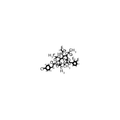 COC(=O)[C@@]1(OCc2cccc(F)c2F)C[C@H](OC(C)=O)[C@@H](NC(=O)CF)[C@H]([C@H](OC(C)=O)[C@@H](CNC(=O)Cc2ccc(Cl)cc2)OC(C)=O)O1